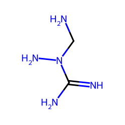 N=C(N)N(N)CN